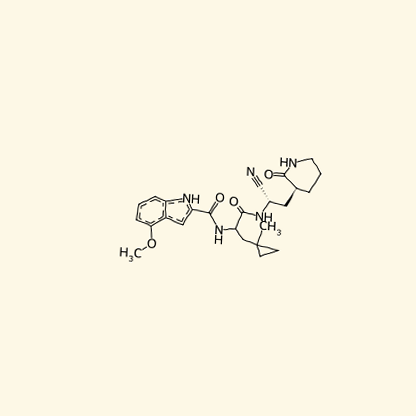 COc1cccc2[nH]c(C(=O)NC(CC3(C)CC3)C(=O)N[C@H](C#N)C[C@@H]3CCCNC3=O)cc12